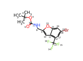 CC(C)(C)OC(=O)NCc1cc2c(C(F)(F)F)cc(Br)cc2o1